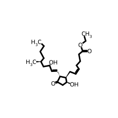 CCCC[C@H](C)C[C@H](O)/C=C/[C@H]1C(=O)C[C@H](O)[C@@H]1C/C=C\CCCC(=O)OCC